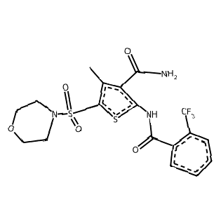 Cc1c(S(=O)(=O)N2CCOCC2)sc(NC(=O)c2ccccc2C(F)(F)F)c1C(N)=O